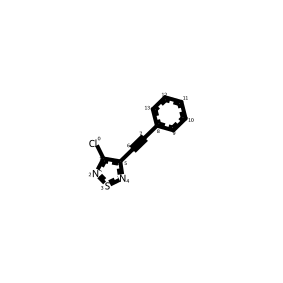 Clc1nsnc1C#Cc1ccccc1